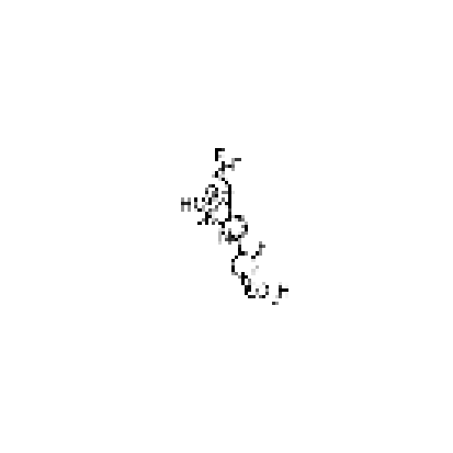 CN1c2nc(C3CCN(C(=O)O)CC3F)ccc2N(CC2CC2(F)F)S1(O)O